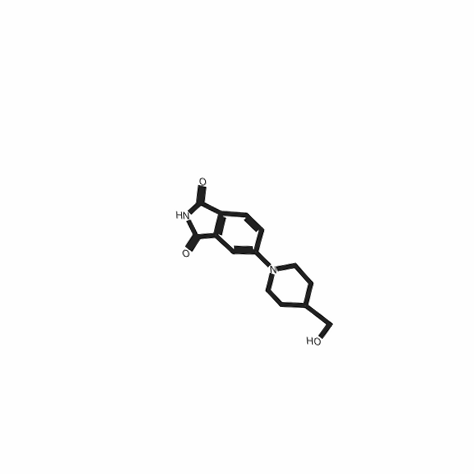 O=C1NC(=O)c2cc(N3CCC(CO)CC3)ccc21